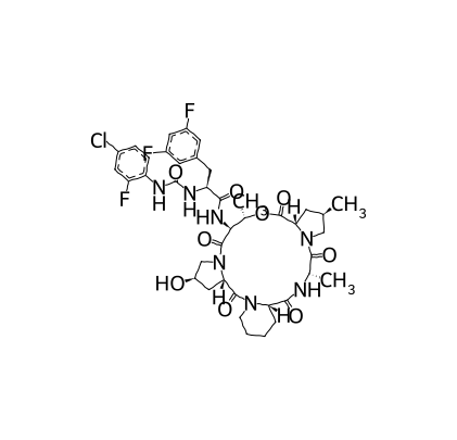 C[C@@H]1C[C@H]2C(=O)O[C@@H](C)[C@H](NC(=O)[C@H](Cc3cc(F)cc(F)c3)NC(=O)Nc3ccc(Cl)cc3F)C(=O)N3C[C@H](O)C[C@H]3C(=O)N3CCCC[C@H]3C(=O)N[C@@H](C)C(=O)N2C1